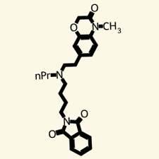 CCCN(CCCCN1C(=O)c2ccccc2C1=O)CCc1ccc2c(c1)OCC(=O)N2C